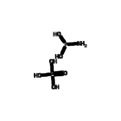 NP(O)O.O=P(O)(O)O